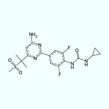 CC(C)(c1cc(N)nc(-c2cc(F)c(NC(=O)NC3CC3)c(F)c2)n1)S(C)(=O)=O